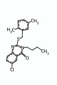 CCCCn1c(SCc2cc(C)ccc2C)nc2ccc(Cl)cc2c1=O